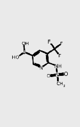 CS(=O)(=O)Nc1ncc(B(O)O)cc1C(F)(F)F